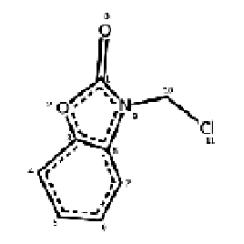 O=c1oc2ccccc2n1CCl